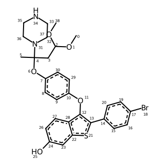 COC(CC(C)(Oc1ccc(Oc2c(-c3ccc(Br)cc3)sc3cc(O)ccc23)cc1)N1CCNCC1)OC